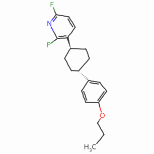 CCCOc1ccc([C@H]2CC[C@H](c3ccc(F)nc3F)CC2)cc1